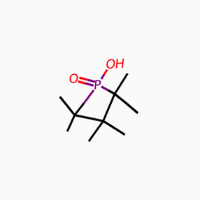 CC1(C)C(C)(C)P(=O)(O)C1(C)C